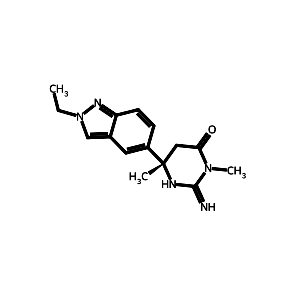 CCn1cc2cc([C@]3(C)CC(=O)N(C)C(=N)N3)ccc2n1